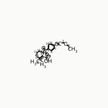 CC=C=CCOc1ccc(S(=O)(=O)N2CCSC(C)(C)[C@@H]2C(=O)O)cc1